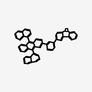 c1cc(-c2ccc3c(-c4cccc5ccccc45)c4ccccc4c(-c4cccc5ccccc45)c3c2)cc(-c2ccc3oc4ccccc4c3c2)c1